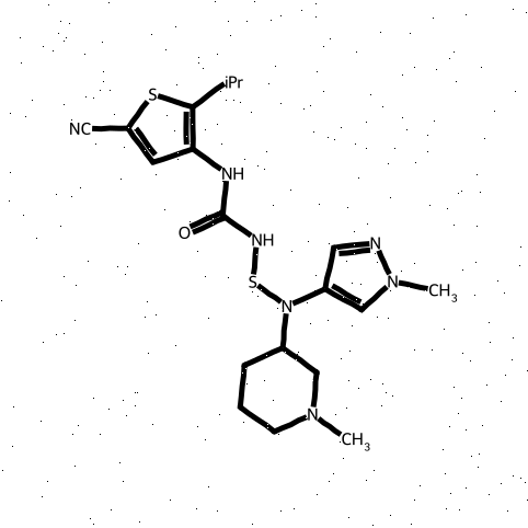 CC(C)c1sc(C#N)cc1NC(=O)NSN(c1cnn(C)c1)C1CCCN(C)C1